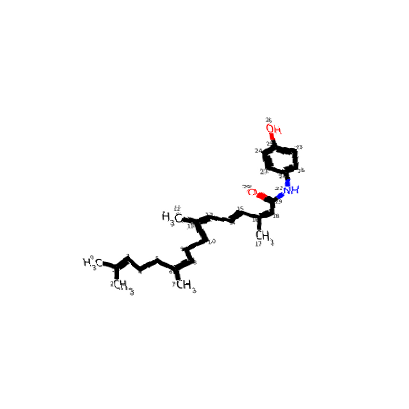 CC(C)=CCCC(C)=CCCC(C)=CC=CC(C)=CC(=O)Nc1ccc(O)cc1